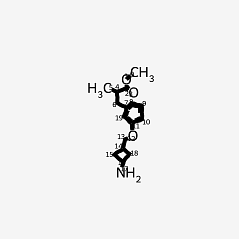 COC(=O)C(C)Cc1cccc(OCC2CC(N)C2)c1